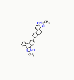 Cc1nc2c(ccc3c4ccc(-c5ccc6c(c5)c5ccccc5c5nc(C)[nH]c65)cc4ccc32)[nH]1